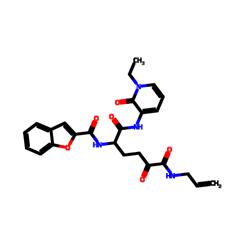 C=CCNC(=O)C(=O)CCC(NC(=O)c1cc2ccccc2o1)C(=O)Nc1cccn(CC)c1=O